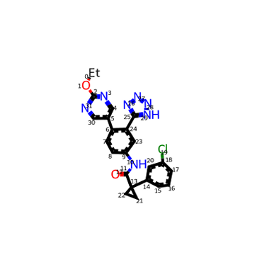 CCOc1ncc(-c2ccc(NC(=O)C3(c4cccc(Cl)c4)CC3)cc2-c2nnn[nH]2)cn1